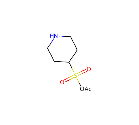 CC(=O)OS(=O)(=O)C1CCNCC1